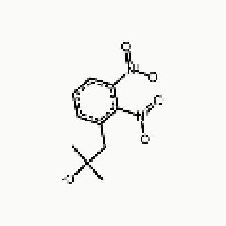 CC(C)([O])Cc1cccc([N+](=O)[O-])c1[N+](=O)[O-]